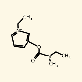 CCN(C)C(=O)Oc1ccc[n+](CC)c1